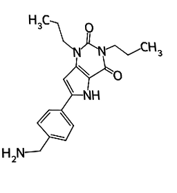 CCCn1c(=O)c2[nH]c(-c3ccc(CN)cc3)cc2n(CCC)c1=O